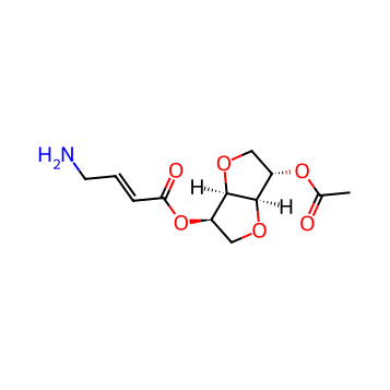 CC(=O)O[C@H]1CO[C@H]2[C@@H]1OC[C@H]2OC(=O)/C=C/CN